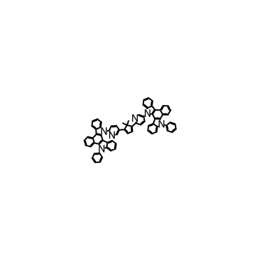 CC1(C)C(c2ccc(-n3c4ccccc4c4c5ccccc5c5c(c6ccccc6n5-c5ccccc5)c43)nc2)=CC=C1c1ccc(-n2c3ccccc3c3c4ccccc4c4c(c5ccccc5n4-c4ccccc4)c32)cn1